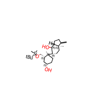 C=C1CC[C@H]2[C@H](O)[C@@H]([C@@]3(C)CC[C@H](O)C[C@@H]3CO[Si](C)(C)C(C)(C)C)CC[C@]12C